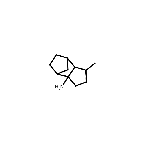 CC1CCC2(N)C3CCC(C3)C12